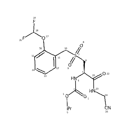 CC(C)OC(=O)N[C@@H](CS(=O)(=O)Cc1ccccc1OC(F)F)C(=O)NCC#N